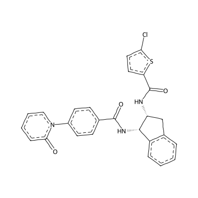 O=C(N[C@H]1c2ccccc2C[C@H]1NC(=O)c1ccc(Cl)s1)c1ccc(-n2ccccc2=O)cc1